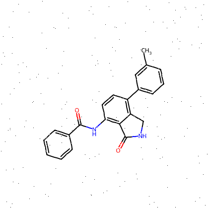 Cc1cccc(-c2ccc(NC(=O)c3ccccc3)c3c2CNC3=O)c1